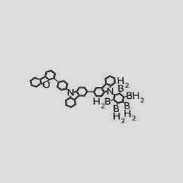 Bc1c(B)c(B)c(-n2c3ccccc3c3cc(-c4ccc5c(c4)c4ccccc4n5-c4ccc(-c5cccc6c5oc5ccccc56)cc4)ccc32)c(B)c1B